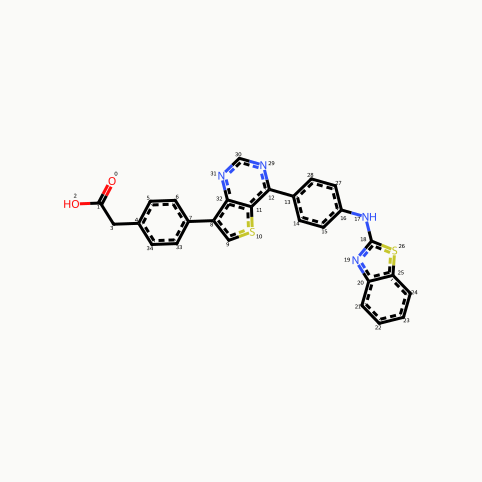 O=C(O)Cc1ccc(-c2csc3c(-c4ccc(Nc5nc6ccccc6s5)cc4)ncnc23)cc1